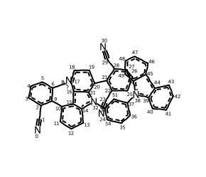 N#Cc1cccc(C#N)c1-c1cccc2c1c1cccc(-c3c(C#N)cccc3C#N)c1n2-c1cccc(-n2c3ccccc3c3ccccc32)c1